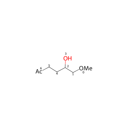 COCC(O)CCC(C)=O